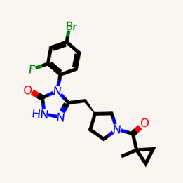 CC1(C(=O)N2CC[C@@H](Cc3n[nH]c(=O)n3-c3ccc(Br)cc3F)C2)CC1